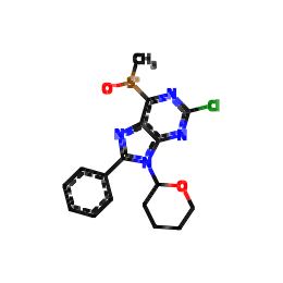 C[S+]([O-])c1nc(Cl)nc2c1nc(-c1ccccc1)n2C1CCCCO1